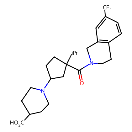 CC(C)C1(C(=O)N2CCc3ccc(C(F)(F)F)cc3C2)CCC(N2CCC(C(=O)O)CC2)C1